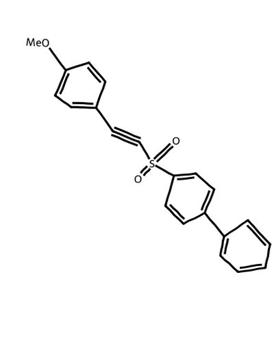 COc1ccc(C#CS(=O)(=O)c2ccc(-c3ccccc3)cc2)cc1